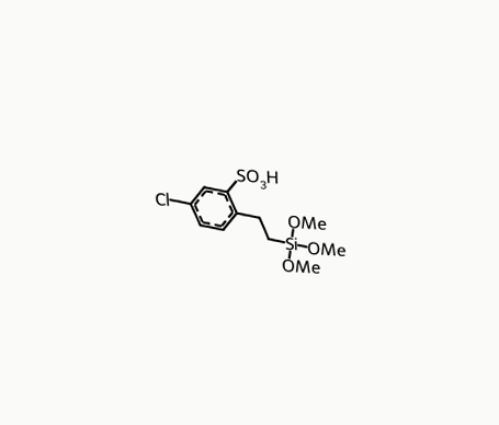 CO[Si](CCc1ccc(Cl)cc1S(=O)(=O)O)(OC)OC